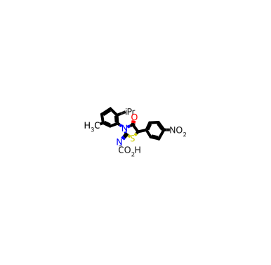 Cc1ccc(C(C)C)c(N2C(=O)C(c3ccc([N+](=O)[O-])cc3)SC2=NC(=O)O)c1